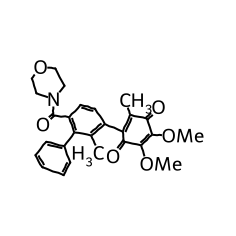 COC1=C(OC)C(=O)C(c2ccc(C(=O)N3CCOCC3)c(-c3ccccc3)c2C)=C(C)C1=O